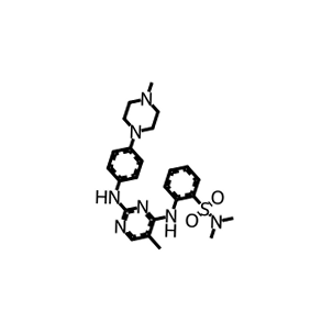 Cc1cnc(Nc2ccc(N3CCN(C)CC3)cc2)nc1Nc1ccccc1S(=O)(=O)N(C)C